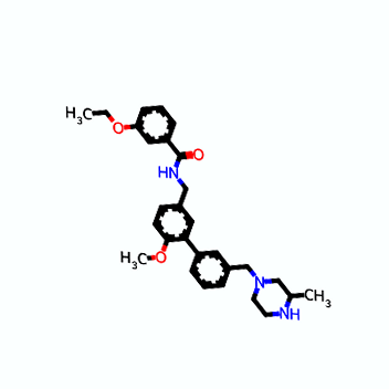 CCOc1cccc(C(=O)NCc2ccc(OC)c(-c3cccc(CN4CCNC(C)C4)c3)c2)c1